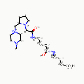 C[15N]1CC[15N](CC2CCC[15N]2CC(=O)N[13CH2][13CH2][13CH2][13C](=O)[15NH][13CH2][13CH2][13CH2][13C](=O)O)CC1